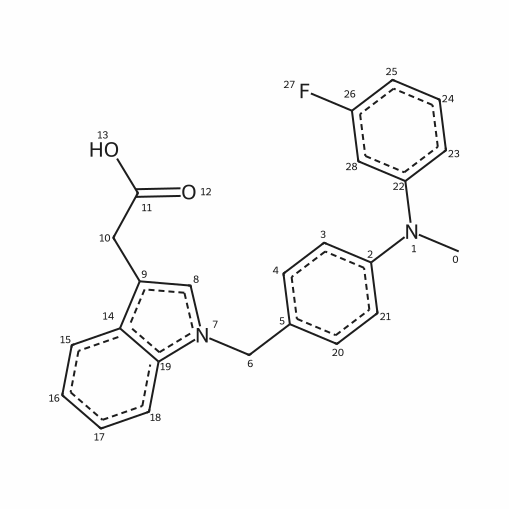 CN(c1ccc(Cn2cc(CC(=O)O)c3ccccc32)cc1)c1cccc(F)c1